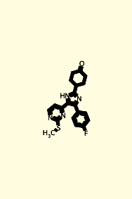 CSc1nccc(-c2[nH]c(C3CCC(=O)CC3)nc2-c2ccc(F)cc2)n1